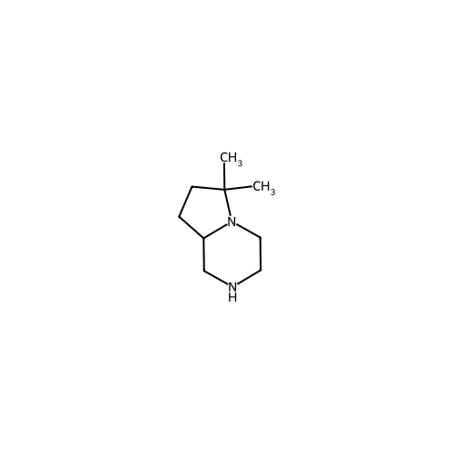 CC1(C)CCC2CNCCN21